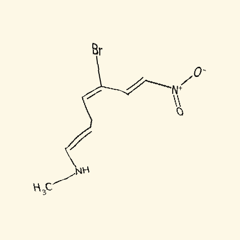 CN/C=C/C=C(Br)\C=C\[N+](=O)[O-]